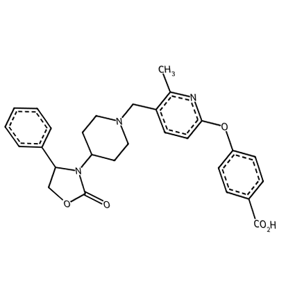 Cc1nc(Oc2ccc(C(=O)O)cc2)ccc1CN1CCC(N2C(=O)OCC2c2ccccc2)CC1